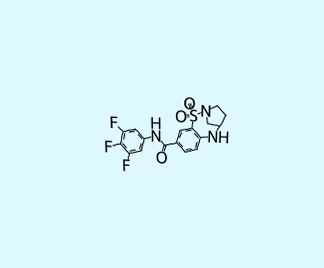 O=C(Nc1cc(F)c(F)c(F)c1)c1ccc2c(c1)S(=O)(=O)N1CCC(C1)N2